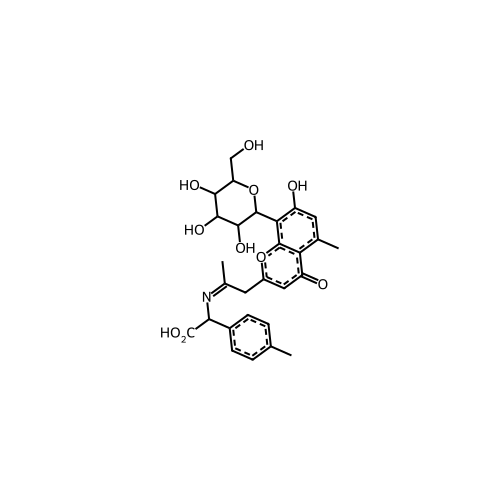 C/C(Cc1cc(=O)c2c(C)cc(O)c(C3OC(CO)C(O)C(O)C3O)c2o1)=N/C(C(=O)O)c1ccc(C)cc1